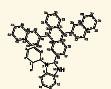 CC1C=CC=CC1N1c2ccccc2NC1c1ccc2c(-c3ccc4ccccc4c3)c3ccccc3c(-c3ccc4ccccc4c3)c2c1